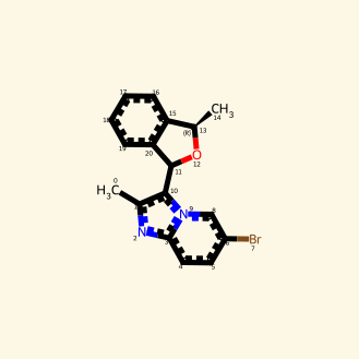 Cc1nc2ccc(Br)cn2c1C1O[C@H](C)c2ccccc21